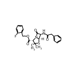 CC1(C)S[C@@H]2[C@H](NC(=O)Cc3ccccc3)C(=O)N2[C@H]1C(=O)OCc1ccccc1F